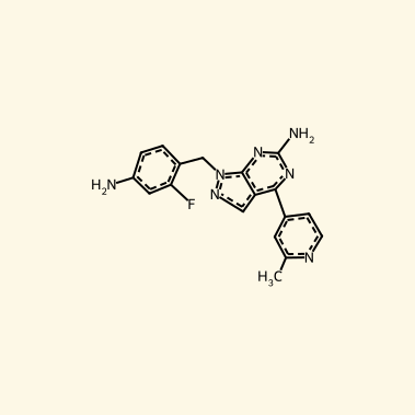 Cc1cc(-c2nc(N)nc3c2cnn3Cc2ccc(N)cc2F)ccn1